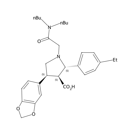 CCCCN(CCCC)C(=O)CN1C[C@H](c2ccc3c(c2)OCO3)[C@H](C(=O)O)[C@H]1c1ccc(CC)cc1